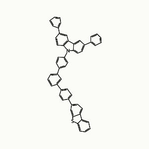 c1ccc(-c2ccc3c(c2)c2cc(-c4ccccc4)ccc2n3-c2ccc(-c3cccc(-c4ccc(-c5ccc6c(c5)sc5ccccc56)cc4)c3)cc2)cc1